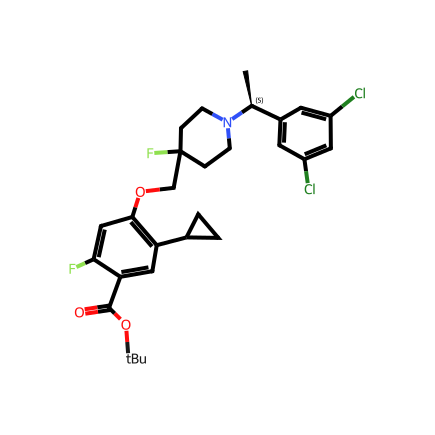 C[C@@H](c1cc(Cl)cc(Cl)c1)N1CCC(F)(COc2cc(F)c(C(=O)OC(C)(C)C)cc2C2CC2)CC1